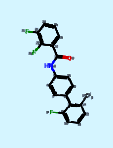 O=C(Nc1ccc(-c2c(F)cccc2C(F)(F)F)cc1)c1cccc(F)c1F